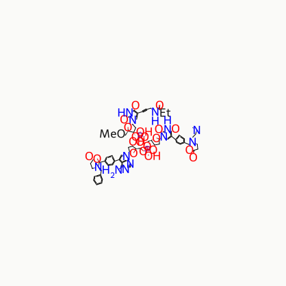 CCC(=O)NCC#Cc1cn([C@H]2C[C@H](OP(=O)(O)OC[C@H]3O[C@@H](n4cc(-c5ccc(C6OC(=O)CCN6CCN(C)C)cc5)c(=O)[nH]c4=O)C[C@@H]3OP(=O)(O)OC[C@H]3O[C@@H](n4cc(-c5ccc(C6OC(=O)CCN6Cc6ccccc6)cc5)c5c(N)ncnc54)C[C@@H]3O)[C@@H](COC)O2)c(=O)[nH]c1=O